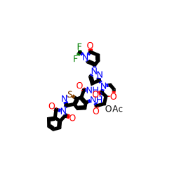 CC(=O)O[C@@H](C(=O)Nc1ccc2c(N3C(=O)c4ccccc4C3=O)nsc2c1C(N)=O)[C@H]1OCCN(c2ccn(-c3ccc(=O)n(C(F)F)c3)n2)C1=O